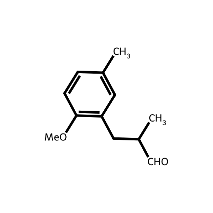 COc1ccc(C)cc1CC(C)C=O